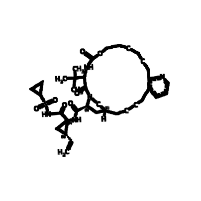 C=C[C@@H]1C[C@]1(NC(=O)[C@@H]1C[C@H]2CCCCc3cccnc3CCCCCCOC(=O)NC(C(C)(C)C)C(=O)N1C2)C(=O)NS(=O)(=O)C1CC1